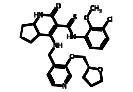 COc1c(Cl)cccc1NC(=S)C1=C(NCc2ccncc2OC[C@@H]2CCCO2)C2CCCC2NC1=O